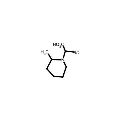 CCC(C(=O)O)N1CCCCC1C